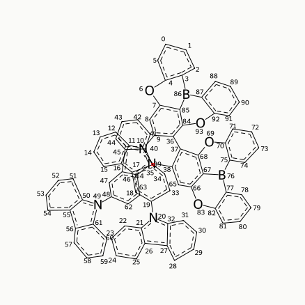 c1ccc2c(c1)Oc1cc(-n3c4ccccc4c4cc(-n5c6ccccc6c6ccccc65)ccc43)c(-c3c(-n4c5ccccc5c5cc(-n6c7ccccc7c7ccccc76)ccc54)cc4c5c3Oc3ccccc3B5c3ccccc3O4)c3c1B2c1ccccc1O3